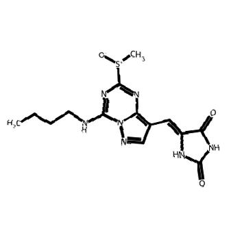 CCCCNc1nc([S+](C)[O-])nc2c(/C=C3\NC(=O)NC3=O)cnn12